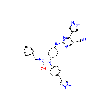 Cn1cc(-c2ccc(N(C3CCC(Nc4ncc(C#N)c(-c5cn[nH]c5)n4)CC3)C(O)NCc3ccccc3)cc2)cn1